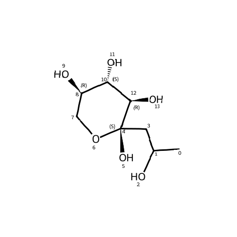 CC(O)C[C@]1(O)OC[C@@H](O)[C@H](O)[C@H]1O